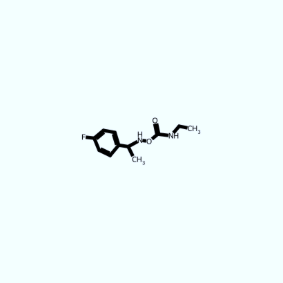 CCNC(=O)ONC(C)c1ccc(F)cc1